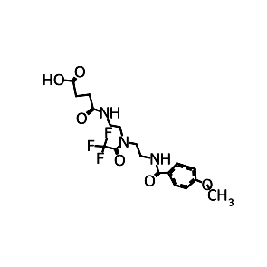 COc1ccc(C(=O)NCCN(CCNC(=O)CCC(=O)O)C(=O)C(F)(F)F)cc1